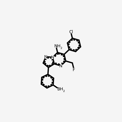 Bc1cccc(-c2cnn3c(N)c(-c4cccc(Cl)c4)c(CF)nc23)c1